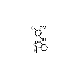 COc1cc(NC(=O)C2=C(C(=O)N(C)C)CCCC2)ccc1Cl